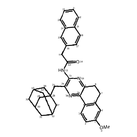 COc1ccc2c(c1)CCc1nc(NC(=O)Cc3ccc4ccccc4c3)c(CC34CC5CC(CC(C5)C3)C4)nc1-2